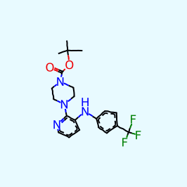 CC(C)(C)OC(=O)N1CCN(c2ncccc2Nc2ccc(C(F)(F)F)cc2)CC1